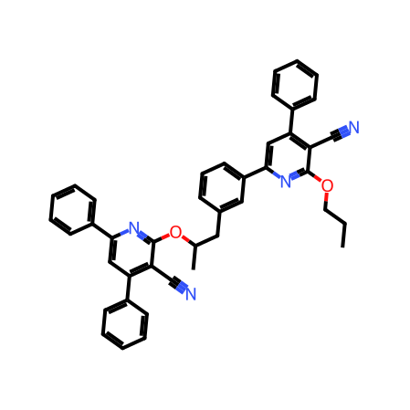 CCCOc1nc(-c2cccc(CC(C)Oc3nc(-c4ccccc4)cc(-c4ccccc4)c3C#N)c2)cc(-c2ccccc2)c1C#N